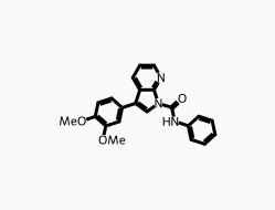 COc1ccc(-c2cn(C(=O)Nc3ccccc3)c3ncccc23)cc1OC